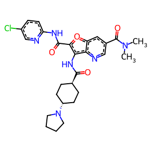 CN(C)C(=O)c1cnc2c(NC(=O)[C@H]3CC[C@H](N4CCCC4)CC3)c(C(=O)Nc3ccc(Cl)cn3)oc2c1